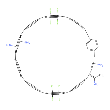 C/C(N)=C1\C=C(\N)Cc2ccc(cc2)-c2ccc(cc2)-c2c(F)c(F)c(c(F)c2F)-c2ccc(cc2)-c2cc(N)c(cc2N)-c2ccc(cc2)-c2ccc(cc2)-c2c(F)c(F)c(c(F)c2F)-c2ccc1cc2